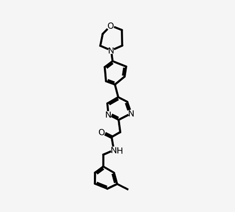 Cc1cccc(CNC(=O)Cc2ncc(-c3ccc(N4CCOCC4)cc3)cn2)c1